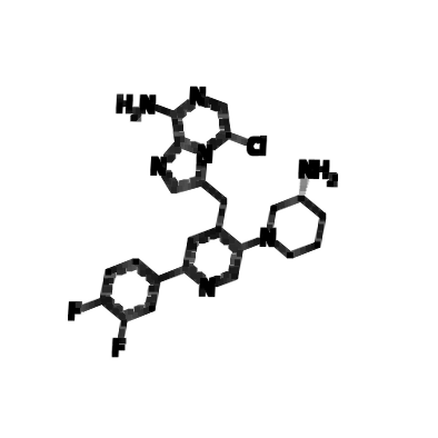 Nc1ncc(Cl)n2c(Cc3cc(-c4ccc(F)c(F)c4)ncc3N3CCC[C@@H](N)C3)cnc12